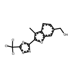 Cc1c(-c2nnc(C(Cl)(Cl)Cl)o2)oc2cc(CO)ccc12